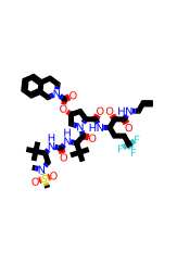 C=CCNC(=O)C(=O)C(CCC(F)(F)F)NC(=O)C1CC(OC(=O)N2CCc3ccccc3C2)CN1C(=O)C(NC(=O)NC(CN(C)S(C)(=O)=O)C(C)(C)C)C(C)(C)C